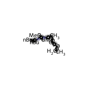 C=C(C)OCC(=O)c1ccc(C(=O)OCCN(C)c2ccc(/C=C/c3cc(OC)c(/C=C/c4ccc(N(CCCC)CCCC)cc4)cc3OC)cc2)cc1